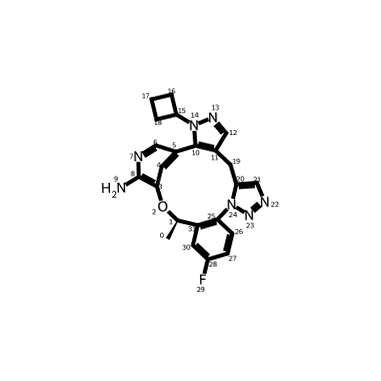 C[C@H]1Oc2cc(cnc2N)-c2c(cnn2C2CCC2)Cc2cnnn2-c2ccc(F)cc21